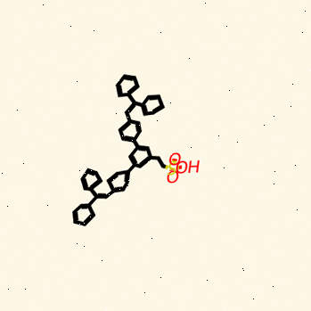 O=S(=O)(O)CCc1cc(-c2ccc(C=C(c3ccccc3)c3ccccc3)cc2)cc(-c2ccc(C=C(c3ccccc3)c3ccccc3)cc2)c1